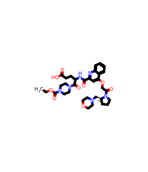 CCOC(=O)N1CCN(C(=O)C(CCC(=O)O)NC(=O)c2cc(OCC(=O)N3CCC[C@H]3CN3CCOCC3)c3ccccc3n2)CC1